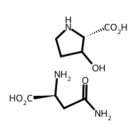 NC(=O)C[C@H](N)C(=O)O.O=C(O)[C@H]1NCCC1O